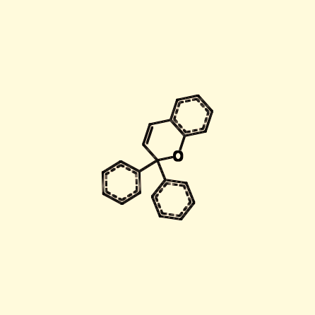 C1=CC(c2ccccc2)(c2ccccc2)Oc2ccccc21